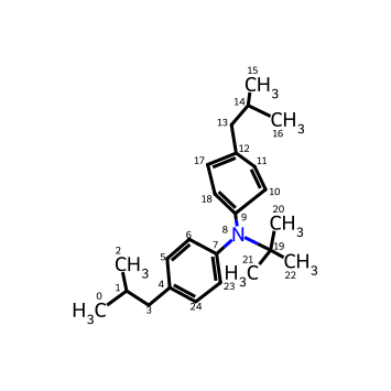 CC(C)Cc1ccc(N(c2ccc(CC(C)C)cc2)C(C)(C)C)cc1